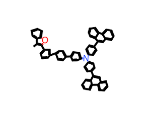 Cc1c(-c2cccc(-c3ccc(-c4ccc(N(c5ccc(-c6cc7ccccc7c7ccccc67)cc5)c5ccc(-c6cc7ccccc7c7ccccc67)cc5)cc4)cc3)c2)oc2ccccc12